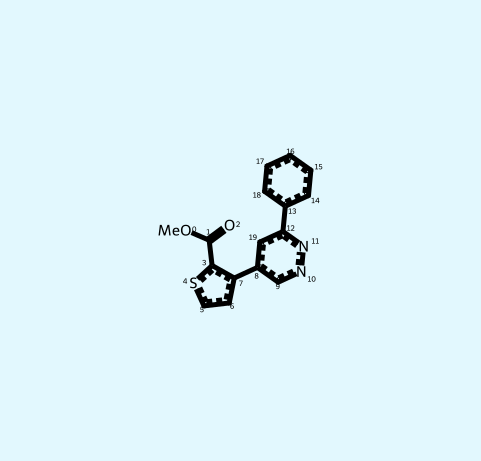 COC(=O)c1sccc1-c1cnnc(-c2ccccc2)c1